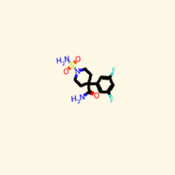 NC(=O)C1(c2cc(F)cc(F)c2)CCN(S(N)(=O)=O)CC1